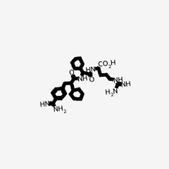 N=C(N)NCCCC(NC(=O)C(NC(=O)C(Cc1ccc(C(=N)N)cc1)C1CCCCC1)C1CCCCC1)C(=O)O